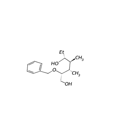 CC[C@@H](O)[C@@H](C)[C@H](C)[C@H](CO)OCc1ccccc1